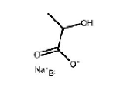 CC(O)C(=O)[O-].[B].[Na+]